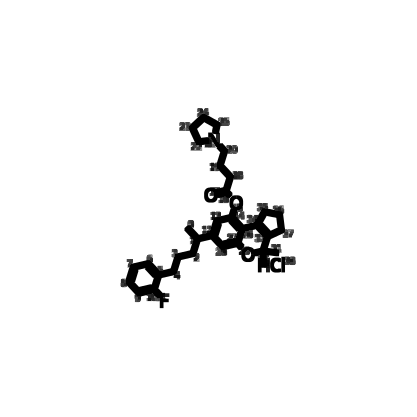 CC(CCCc1ccccc1F)c1cc(OC(=O)CCCN2CCCC2)c2c(c1)OC(C)(C)C1=C2CCC1.Cl